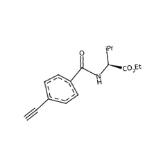 C#Cc1ccc(C(=O)N[C@H](C(=O)OCC)C(C)C)cc1